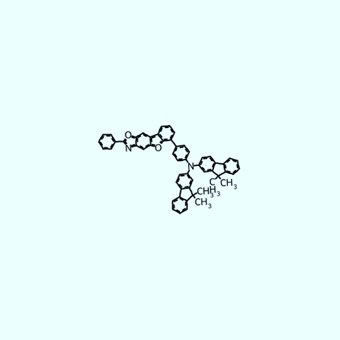 CC1(C)c2ccccc2-c2ccc(N(c3ccc(-c4cccc5c4oc4cc6nc(-c7ccccc7)oc6cc45)cc3)c3ccc4c(c3)C(C)(C)c3ccccc3-4)cc21